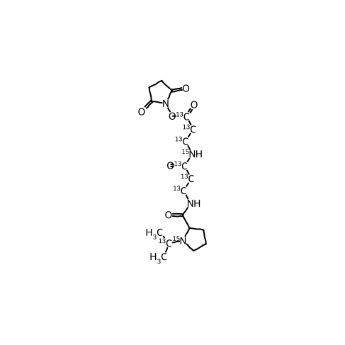 C[13CH](C)[15N]1CCCC1C(=O)N[13CH2][13CH2][13C](=O)[15NH][13CH2][13CH2][13C](=O)ON1C(=O)CCC1=O